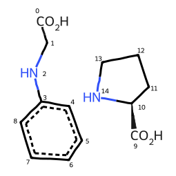 O=C(O)CNc1ccccc1.O=C(O)[C@@H]1CCCN1